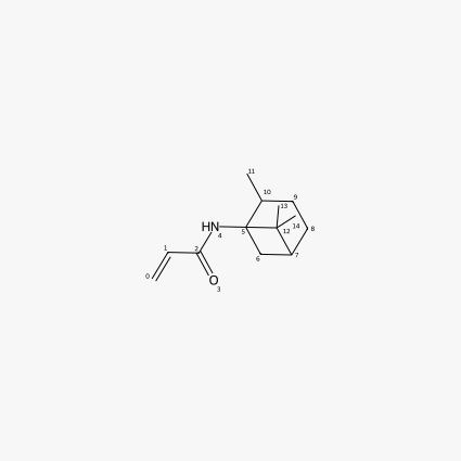 C=CC(=O)NC12CC(CCC1C)C2(C)C